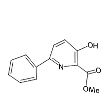 COC(=O)c1nc(-c2ccccc2)ccc1O